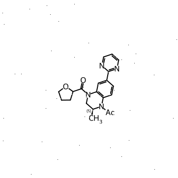 CC(=O)N1c2ccc(-c3ncccn3)cc2N(C(=O)C2CCCO2)C[C@@H]1C